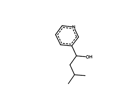 CC(C)CC(O)c1cccnc1